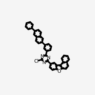 Clc1nc(-c2cccc(-c3ccc4cc(-c5ccccc5)ccc4c3)c2)nc(-c2ccc3oc4ccc5ccccc5c4c3c2)n1